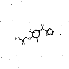 Cc1cc(C(=O)c2cccs2)cc(C)c1OCC(=O)O